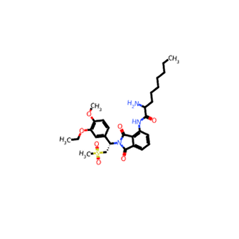 CCCCCCCC(N)C(=O)Nc1cccc2c1C(=O)N([C@H](CS(C)(=O)=O)c1ccc(OC)c(OCC)c1)C2=O